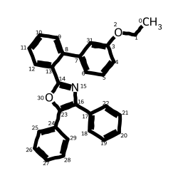 CCOc1cccc(-c2ccccc2-c2nc(-c3ccccc3)c(-c3ccccc3)o2)c1